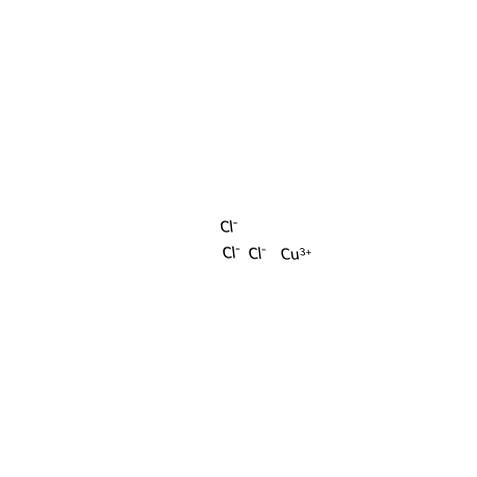 [Cl-].[Cl-].[Cl-].[Cu+3]